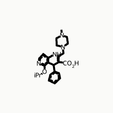 CC(C)Oc1nccc2c1C(c1ccccc1)C(C(=O)O)=C(CN1CCN(C)CC1)N2